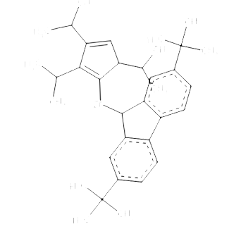 CC(C)C1=CC(C(C)C)[C]([Zr][CH]2c3cc(C(C)(C)C)ccc3-c3ccc(C(C)(C)C)cc32)=C1C(C)C